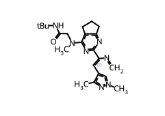 C=N/C(=C\c1cn(C)nc1C)c1nc2c(c(N(C)CC(=O)NC(C)(C)C)n1)CCC2